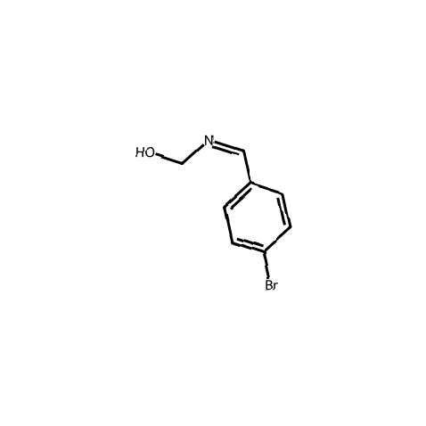 OC/N=C\c1ccc(Br)cc1